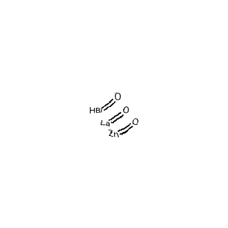 [O]=[BiH].[O]=[La].[O]=[Zn]